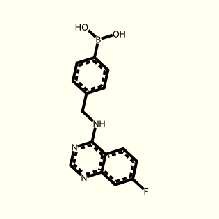 OB(O)c1ccc(CNc2ncnc3cc(F)ccc23)cc1